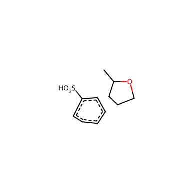 CC1CCCO1.O=S(=O)(O)c1ccccc1